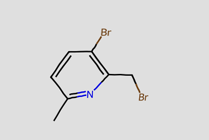 Cc1ccc(Br)c(CBr)n1